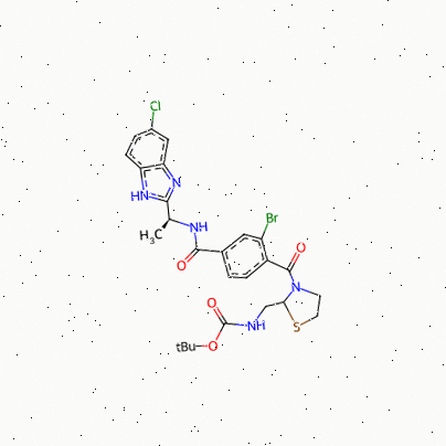 C[C@H](NC(=O)c1ccc(C(=O)N2CCSC2CNC(=O)OC(C)(C)C)c(Br)c1)c1nc2cc(Cl)ccc2[nH]1